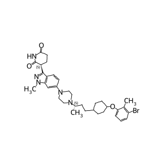 Cc1c(Br)cccc1OC1CCC(CC[C@H](C)N2CCN(c3ccc4c([C@@H]5CCC(=O)NC5=O)nn(C)c4c3)CC2)CC1